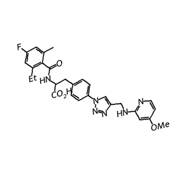 CCc1cc(F)cc(C)c1C(=O)NC(Cc1ccc(-n2cc(CNc3cc(OC)ccn3)nn2)cc1)C(=O)O